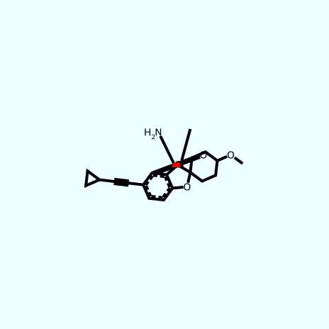 COC1CCC2(CC1)Oc1ccc(C#CC3CC3)cc1C21N=C(N)N(C)C1=O